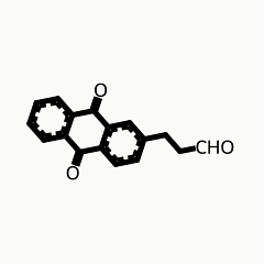 O=CCCc1ccc2c(c1)C(=O)c1ccccc1C2=O